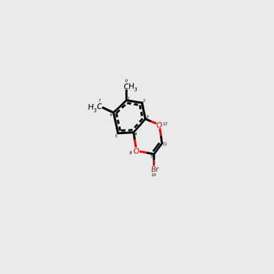 Cc1cc2c(cc1C)OC(Br)=CO2